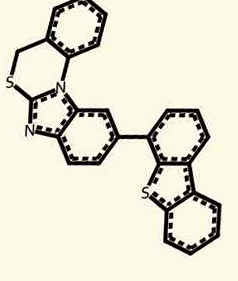 c1ccc2c(c1)CSc1nc3ccc(-c4cccc5c4sc4ccccc45)cc3n1-2